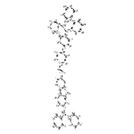 C(=C\c1ccc2c(c1)sc1cc(N(c3ccccc3)c3ccccc3)ccc12)/c1ccc(-c2ccc3c(-c4ccccc4)c(-c4ccccc4)c4ccccc4c3c2)cc1